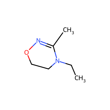 CCN1CCON=C1C